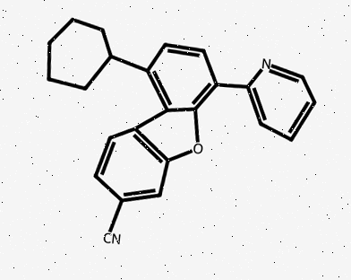 N#Cc1ccc2c(c1)oc1c(-c3ccccn3)ccc(C3CCCCC3)c12